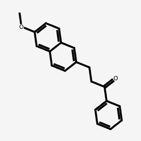 COc1ccc2cc(CCC(=O)c3ccccc3)ccc2c1